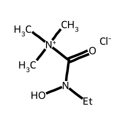 CCN(O)C(=O)[N+](C)(C)C.[Cl-]